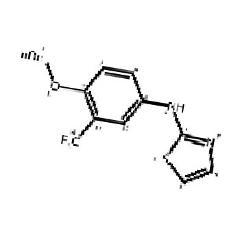 CCCCCCCCOc1ccc(Nc2nccs2)cc1C(F)(F)F